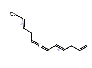 C=CC/C=C/C=C=CC/C=C/CC